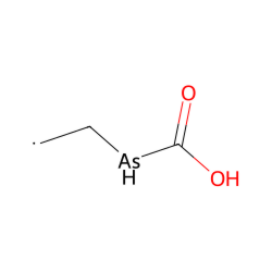 [CH2]C[AsH]C(=O)O